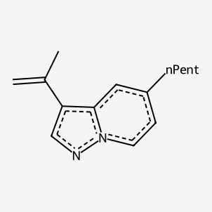 C=C(C)c1cnn2ccc(CCCCC)cc12